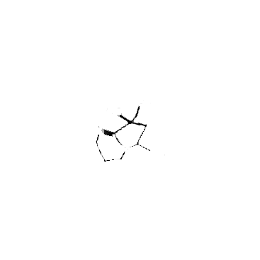 CC1CC(C)(C)C2=NCCCN21